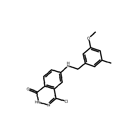 COc1cc(C)cc(CNc2ccc3c(=O)[nH]nc(Cl)c3c2)c1